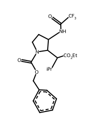 CCOC(=O)C(C(C)C)C1C(NC(=O)C(F)(F)F)CCN1C(=O)OCc1ccccc1